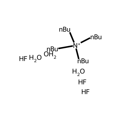 CCCC[N+](CCCC)(CCCC)CCCC.F.F.F.O.O.O